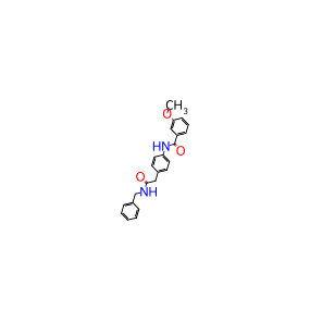 COc1cccc(C(=O)Nc2ccc(CC(=O)NCc3ccccc3)cc2)c1